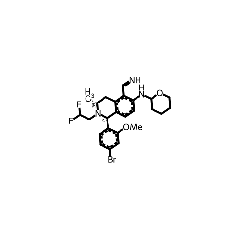 COc1cc(Br)ccc1[C@@H]1c2ccc(NC3CCCCO3)c(C=N)c2C[C@@H](C)N1CC(F)F